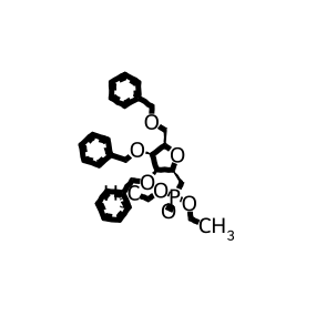 CCOP(=O)(C[C@@H]1O[C@H](COCc2ccccc2)[C@@H](OCc2ccccc2)[C@@H]1OCc1ccccc1)OCC